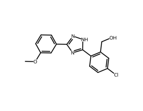 COc1cccc(-c2n[nH]c(-c3ccc(Cl)cc3CO)n2)c1